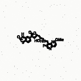 COc1ccc2ncc(F)c(CNC[C@H](O)C[C@H]3CN(c4ccc5c(c4)NC(=O)CS5)C(=O)O3)c2n1